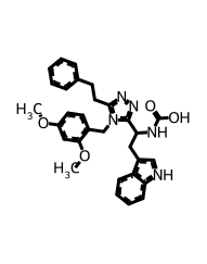 COc1ccc(Cn2c(CCc3ccccc3)nnc2C(Cc2c[nH]c3ccccc23)NC(=O)O)c(OC)c1